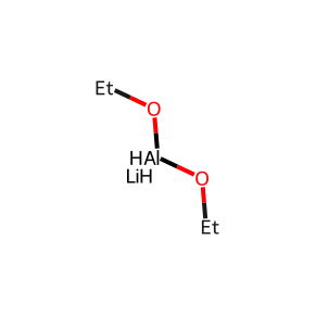 CC[O][AlH][O]CC.[LiH]